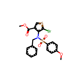 COC(=O)c1csc(Br)c1N(Cc1ccccc1)S(=O)(=O)c1ccc(OC)cc1